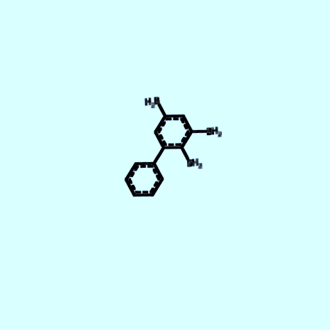 Bc1cc(B)c(B)c(-c2ccccc2)c1